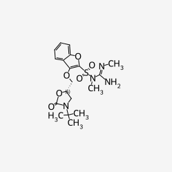 CN=C(N)N(C)S(=O)(=O)c1oc2ccccc2c1OC[C@@H]1CN(C(C)(C)C)C(=O)O1